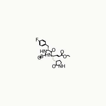 CCOC(=O)/C=C/[C@H](C[C@@H]1CCNC1=O)NC(=O)[C@H](Cc1ccc(F)cc1)NCB=O